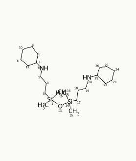 C[Si](C)(CCCNC1CCCCC1)O[Si](C)(C)CCCNC1CCCCC1